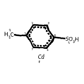 Cc1ccc(S(=O)(=O)O)cc1.[Cd]